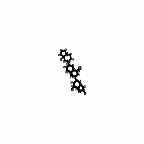 Cc1cn2cc(-c3cc(=O)n4cc(N5CCN6CCC[C@@]6(C)C5)ccc4n3)cc(C)c2n1